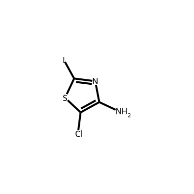 Nc1nc(I)sc1Cl